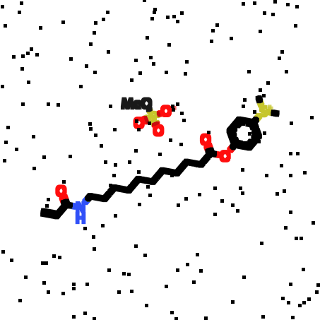 C=CC(=O)NCCCCCCCCCCC(=O)Oc1ccc([S+](C)C)cc1.COS(=O)(=O)[O-]